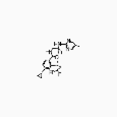 Cc1cnc(NC(=O)CN(C)C(=O)c2ccc(C3CC3)c(F)c2[C@]2(C)CC2(F)F)nc1